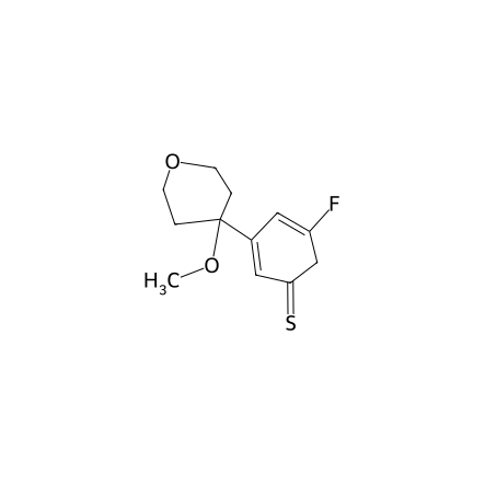 COC1(C2=CC(=S)CC(F)=C2)CCOCC1